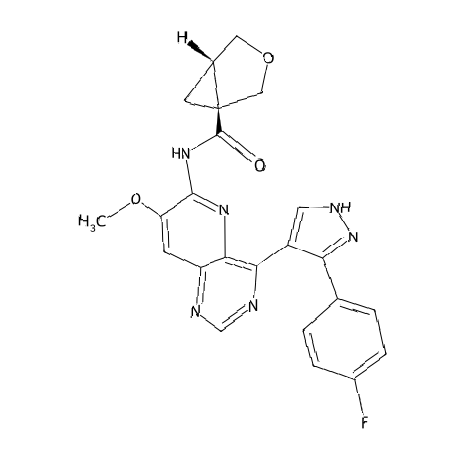 COc1cc2ncnc(-c3c[nH]nc3-c3ccc(F)cc3)c2nc1NC(=O)[C@]12COC[C@H]1C2